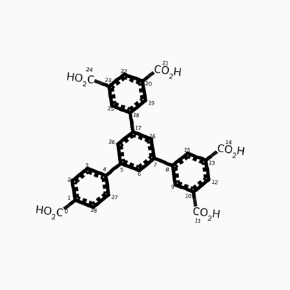 O=C(O)c1ccc(-c2cc(-c3cc(C(=O)O)cc(C(=O)O)c3)cc(-c3cc(C(=O)O)cc(C(=O)O)c3)c2)cc1